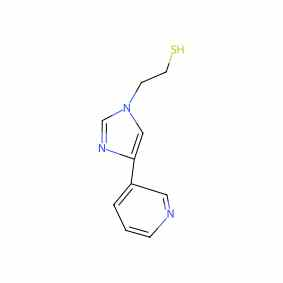 SCCn1cnc(-c2cccnc2)c1